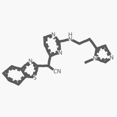 Cn1cncc1CCNc1nccc(C(C#N)c2nc3ccccc3s2)n1